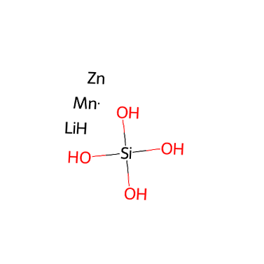 O[Si](O)(O)O.[LiH].[Mn].[Zn]